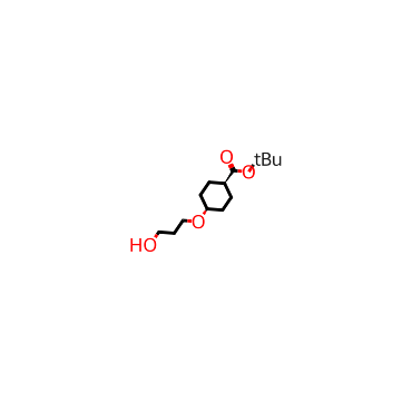 CC(C)(C)OC(=O)[C@H]1CC[C@@H](OCCCO)CC1